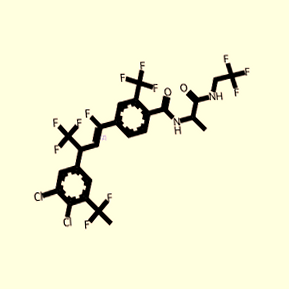 CC(NC(=O)c1ccc(/C(F)=C/C(c2cc(Cl)c(Cl)c(C(C)(F)F)c2)C(F)(F)F)cc1C(F)(F)F)C(=O)NCC(F)(F)F